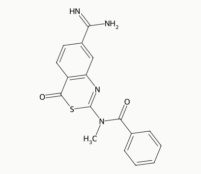 CN(C(=O)c1ccccc1)c1nc2cc(C(=N)N)ccc2c(=O)s1